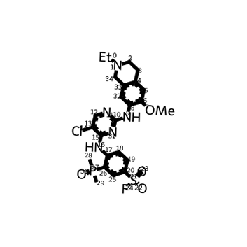 CCN1CCc2cc(OC)c(Nc3ncc(Cl)c(Nc4ccc(S(=O)(=O)F)cc4P(C)(C)=O)n3)cc2C1